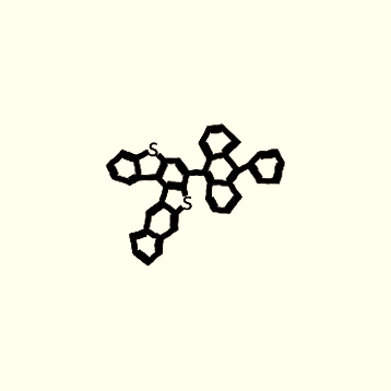 c1ccc(-c2c3ccccc3c(-c3cc4sc5ccccc5c4c4c3sc3cc5ccccc5cc34)c3ccccc23)cc1